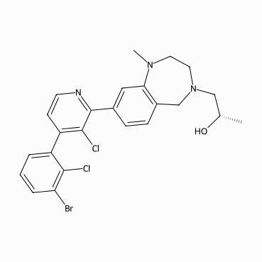 C[C@H](O)CN1CCN(C)c2cc(-c3nccc(-c4cccc(Br)c4Cl)c3Cl)ccc2C1